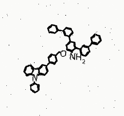 Nc1c(OCc2ccc(-c3ccc4c(c3)c3ccccc3n4-c3ccccc3)cc2)cc(-c2cccc(-c3ccccc3)c2)cc1-c1cccc(-c2ccccc2)c1